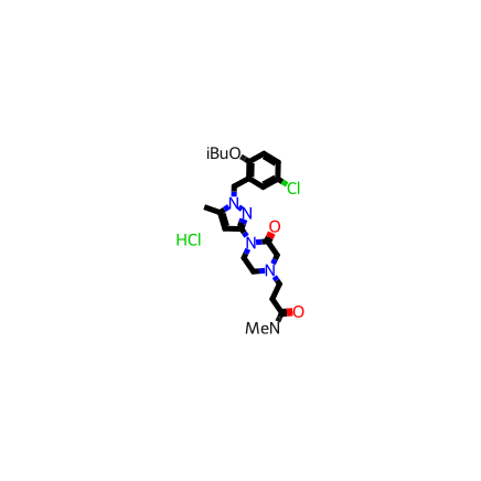 CNC(=O)CCN1CCN(c2cc(C)n(Cc3cc(Cl)ccc3OCC(C)C)n2)C(=O)C1.Cl